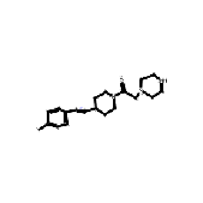 Cc1ccc(/C=C/C2CCN(C(=O)CN3CCNCC3)CC2)cc1